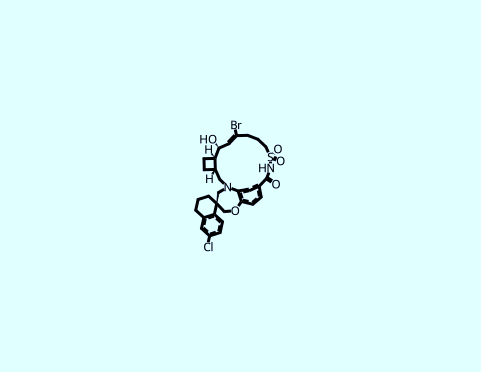 O=C1NS(=O)(=O)CCC/C(Br)=C/[C@@H](O)[C@@H]2CC[C@H]2CN2C[C@@]3(CCCc4cc(Cl)ccc43)COc3ccc1cc32